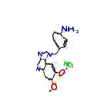 COc1cc2ncc3ncn(Cc4ccc(N)cc4)c3c2cc1OC.Cl